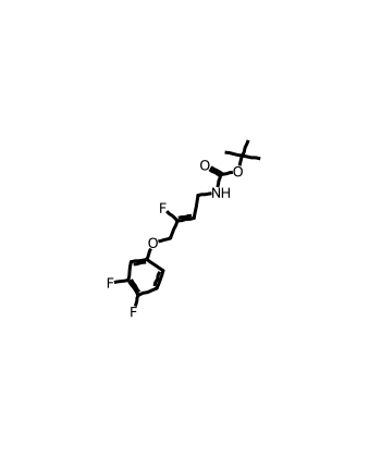 CC(C)(C)OC(=O)NCC=C(F)COc1ccc(F)c(F)c1